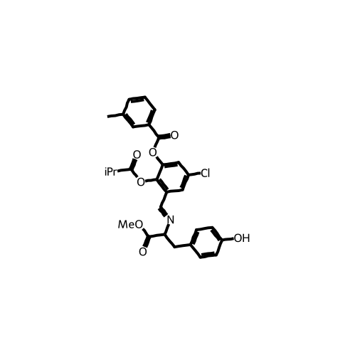 COC(=O)C(Cc1ccc(O)cc1)N=Cc1cc(Cl)cc(OC(=O)c2cccc(C)c2)c1OC(=O)C(C)C